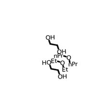 CCCOCCC.CCOCC.OCCO.OCCO